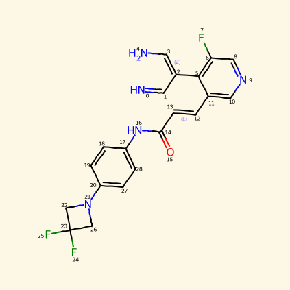 N=C/C(=C\N)c1c(F)cncc1/C=C/C(=O)Nc1ccc(N2CC(F)(F)C2)cc1